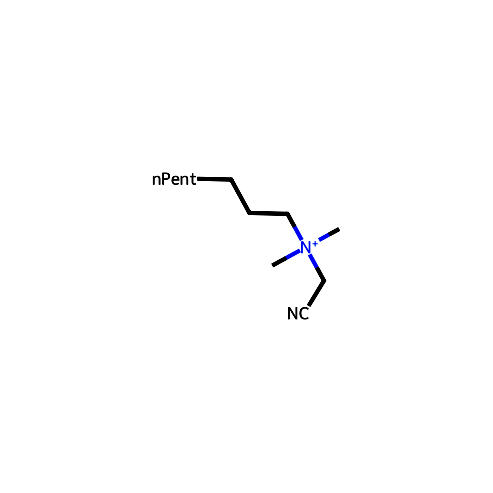 CCCCCCCC[N+](C)(C)CC#N